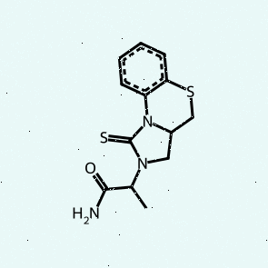 CC(C(N)=O)N1CC2CSc3ccccc3N2C1=S